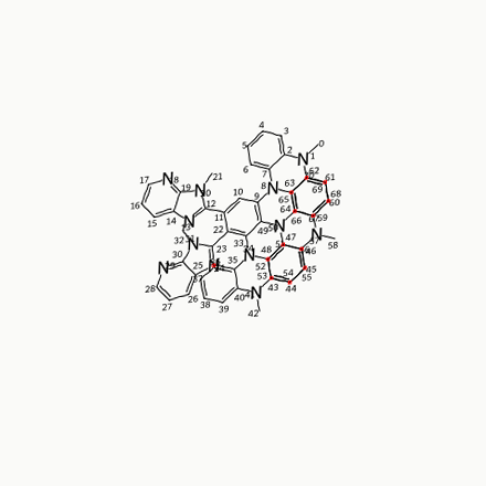 CN1c2ccccc2N(c2cc(-c3nc4cccnc4n3C)c(-c3nc4cccnc4n3C)c(N3c4ccccc4N(C)c4ccccc43)c2N2c3ccccc3N(C)c3ccccc32)c2ccccc21